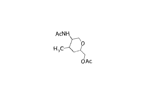 CC(=O)NC1COC(COC(C)=O)CC1C